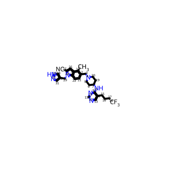 Cc1c(CN2CCC(Nc3ncncc3CCCC(F)(F)F)CC2)ccc2c1cc(C#N)n2Cc1cn[nH]c1